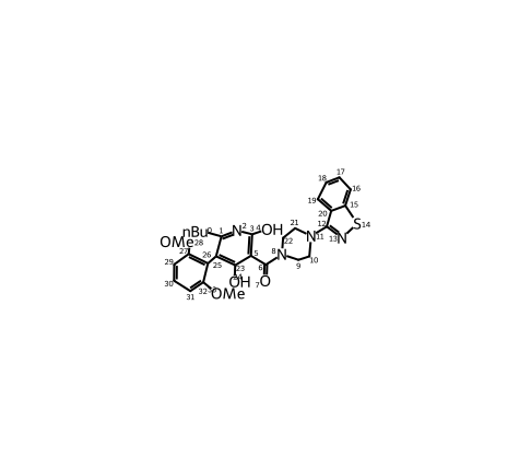 CCCCc1nc(O)c(C(=O)N2CCN(c3nsc4ccccc34)CC2)c(O)c1-c1c(OC)cccc1OC